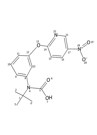 CC(C)(C)N(C(=O)O)c1cccc(Oc2ccc([N+](=O)[O-])cn2)c1